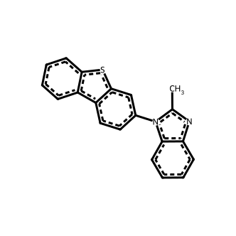 Cc1nc2ccccc2n1-c1ccc2c(c1)sc1ccccc12